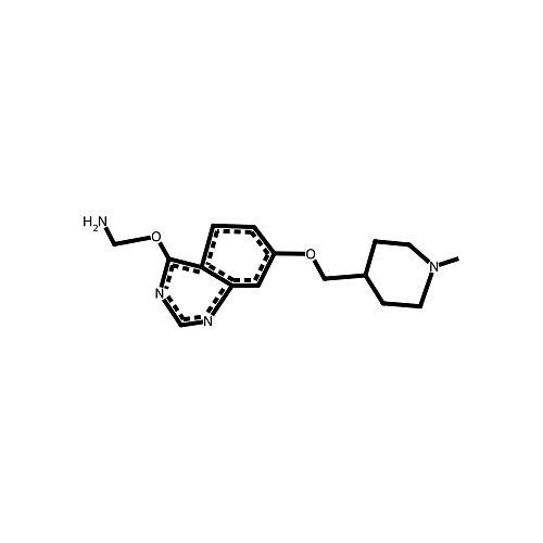 CN1CCC(COc2ccc3c(OCN)ncnc3c2)CC1